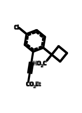 CCOC(=O)C#Cc1cc(Cl)ccc1C1(C(=O)O)CCC1